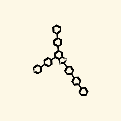 c1ccc(-c2ccc(-c3ccc(-c4nc5c(-c6ccc(-c7ccncc7)cc6)cc(-c6ccc(-c7ccccc7)cc6)cc5o4)cc3)cc2)cc1